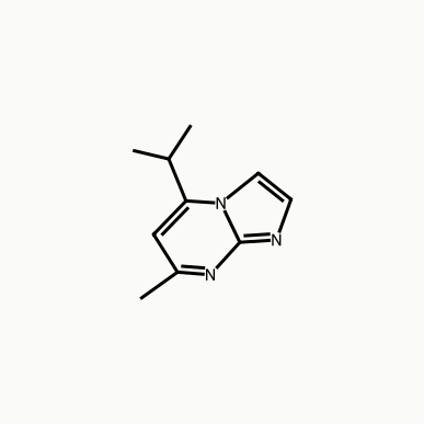 Cc1cc(C(C)C)n2ccnc2n1